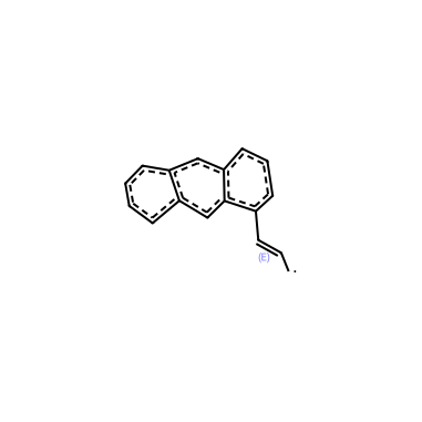 [CH2]/C=C/c1cccc2cc3ccccc3cc12